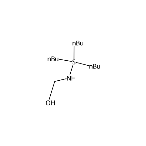 CCCCS(CCCC)(CCCC)NCO